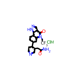 Cl.NC(=O)Cc1cnccc1-c1ccc2c3[nH]ncc3c(=O)n(CC(F)(F)F)c2c1